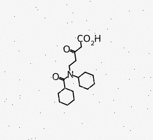 O=C(O)CC(=O)CCN(C(=O)C1CCCCC1)C1CCCCC1